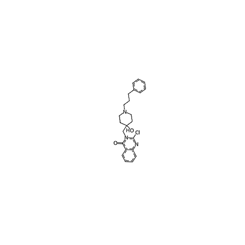 O=c1c2ccccc2nc(Cl)n1CC1(O)CCN(CCCc2ccccc2)CC1